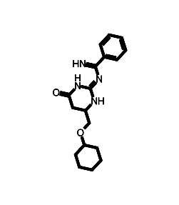 N=C(/N=C1\NC(=O)CC(COC2CCCCC2)N1)c1ccccc1